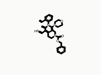 C=Cc1ccccc1N1C(=C)C(C=N)=C2CCN(C(=O)OCc3ccccc3)CC2=C1N1CCOCC1